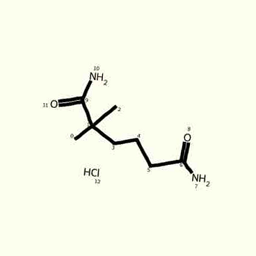 CC(C)(CCCC(N)=O)C(N)=O.Cl